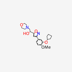 COc1ccc(-c2cc(C(O)CN3CCOCC3)on2)cc1OC1CCCC1